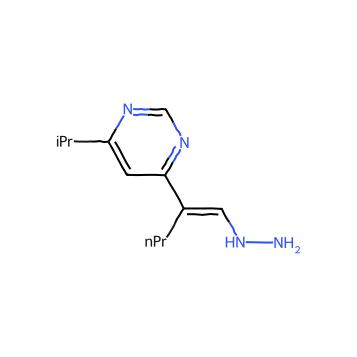 CCC/C(=C\NN)c1cc(C(C)C)ncn1